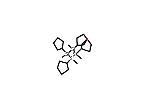 C[Si]1(C2CCCC2)[Si](C)(C2CCCC2)[Si](C)(C2CCCC2)[Si]1(C)C1CCCC1